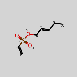 C=CS(=O)(=O)OCC=CCC